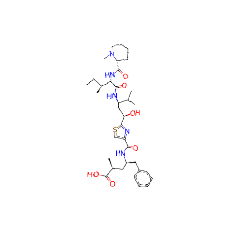 CC[C@H](C)[C@H](NC(=O)[C@H]1CCCCN1C)C(=O)NC(C[C@@H](O)c1nc(C(=O)N[C@@H](Cc2ccccc2)C[C@H](C)C(=O)O)cs1)C(C)C